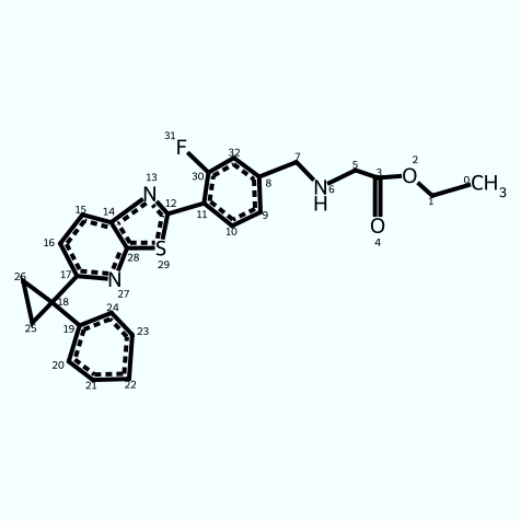 CCOC(=O)CNCc1ccc(-c2nc3ccc(C4(c5ccccc5)CC4)nc3s2)c(F)c1